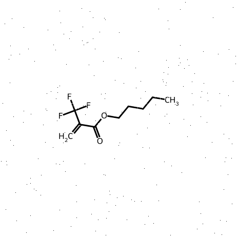 C=C(C(=O)OCCCCC)C(F)(F)F